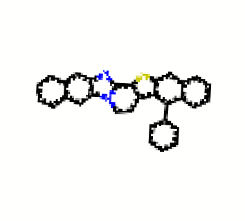 [c]1ccc(-c2c3ccccc3cc3sc4c(ccn5c6cc7ccccc7cc6nc45)c23)cc1